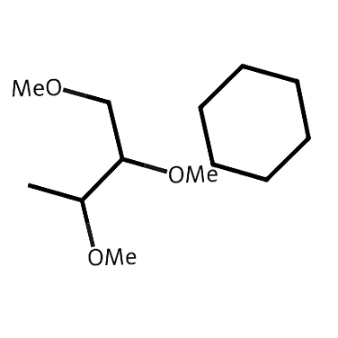 C1CCCCC1.COCC(OC)C(C)OC